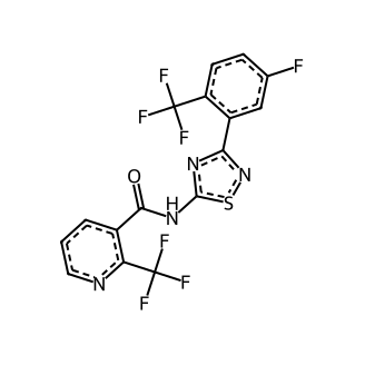 O=C(Nc1nc(-c2cc(F)ccc2C(F)(F)F)ns1)c1cccnc1C(F)(F)F